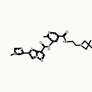 Cc1ncc(C(=O)NCCN2CC(C)(C)C2)cc1NC(=O)c1cnn2cc(-c3cn(C)cn3)sc12